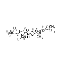 Cc1nn(COCCS(C)(C)C)c(C)c1-c1ccc(NC(=O)C(c2nnc(Br)n2COCC[Si](C)(C)C)C(C2CC2)C2CC2)cc1